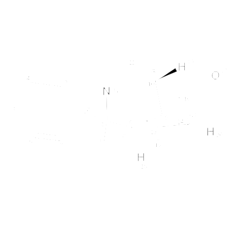 CC1(c2ccccc2)[C@H]2C[C@@H]3CN1C[C@H](C2)C3=O